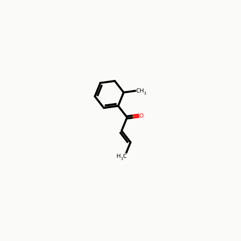 CC=CC(=O)C1=CC=CCC1C